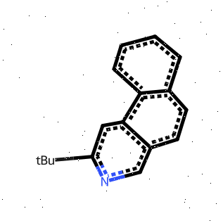 CC(C)(C)c1cc2c(ccc3ccccc32)cn1